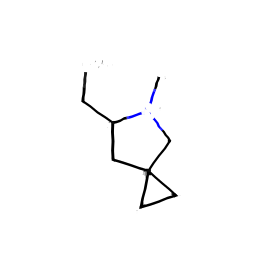 COCC1CC2(CC2)CN1C